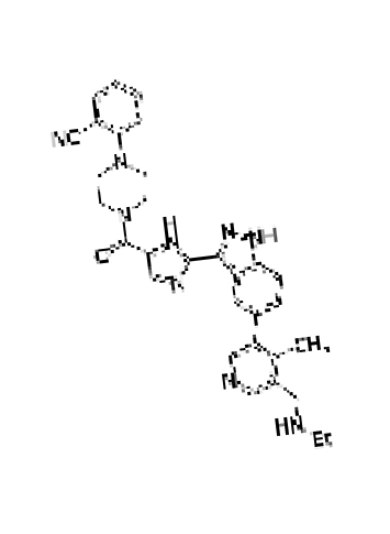 CCNCc1cncc(-c2ccc3[nH]nc(-c4ncc(C(=O)N5CCN(c6ccccc6C#N)CC5)[nH]4)c3c2)c1C